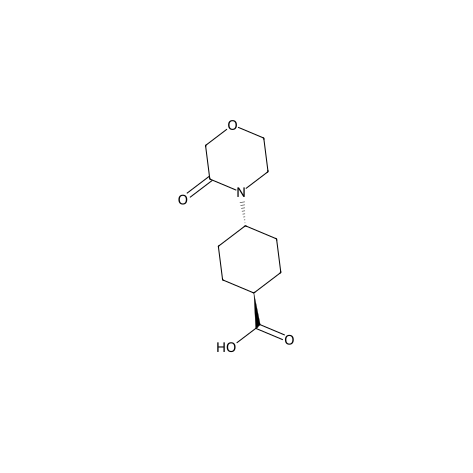 O=C1COCCN1[C@H]1CC[C@H](C(=O)O)CC1